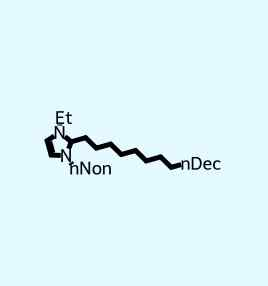 CCCCCCCCCCCCCCCCCCC1N(CC)C=CN1CCCCCCCCC